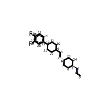 C/C=C/[C@H]1CC[C@H](CCC2CCC(c3ccc(F)c(F)c3)CC2)CC1